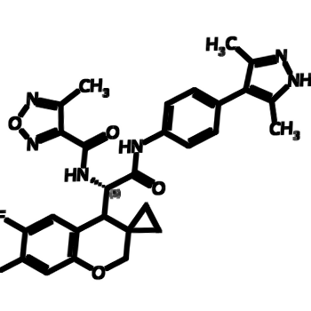 Cc1nonc1C(=O)N[C@H](C(=O)Nc1ccc(-c2c(C)n[nH]c2C)cc1)C1c2cc(F)c(F)cc2OCC12CC2